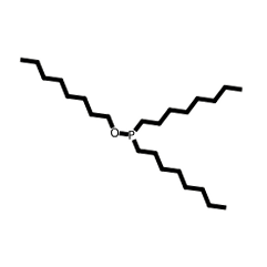 CCCCCCCCOP(CCCCCCCC)CCCCCCCC